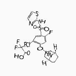 O=C(O)C(F)(F)F.O=S(=O)(Nc1nccs1)c1cc(Cl)c(OC2C[C@@H]3CC[C@@H](C2)N3)cc1F